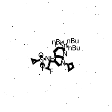 CCC[CH2][Sn]([CH2]CCC)([CH2]CCC)[c]1nc2c(cc1F)c([C@H](NS(=O)(=O)C1CC1)C(F)F)cn2C1CCC1